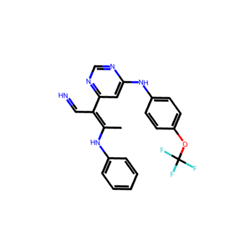 C/C(Nc1ccccc1)=C(/C=N)c1cc(Nc2ccc(OC(F)(F)F)cc2)ncn1